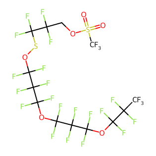 O=S(=O)(OCC(F)(F)C(F)(F)SOC(F)(F)C(F)(F)C(F)(F)OC(F)(F)C(F)(F)C(F)(F)OC(F)(F)C(F)(F)C(F)(F)F)C(F)(F)F